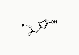 CCOC(=O)Cc1cc(O)[nH]n1